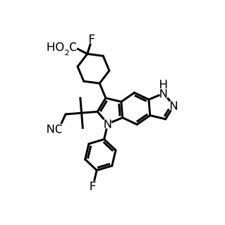 CC(C)(CC#N)c1c(C2CCC(F)(C(=O)O)CC2)c2cc3[nH]ncc3cc2n1-c1ccc(F)cc1